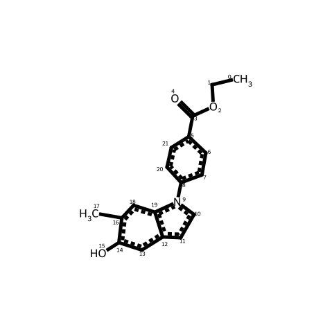 CCOC(=O)c1ccc(-n2ccc3cc(O)c(C)cc32)cc1